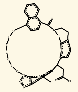 Cc1c2ccc3c1nnn3CCCCCCOc1ccc(c3ccccc13)C(=O)N1CCc3ccc(cc3C1)C2CC(=O)O